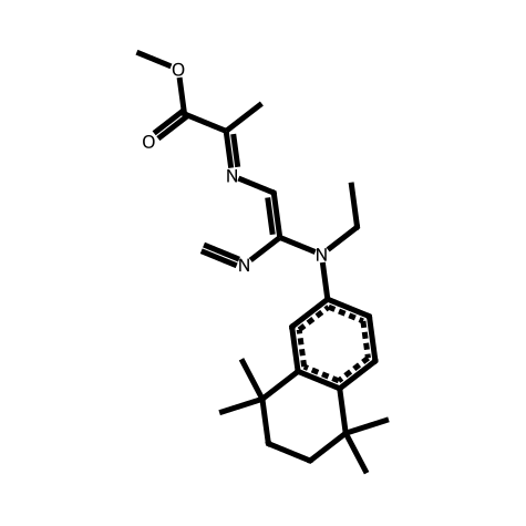 C=N/C(=C\N=C(/C)C(=O)OC)N(CC)c1ccc2c(c1)C(C)(C)CCC2(C)C